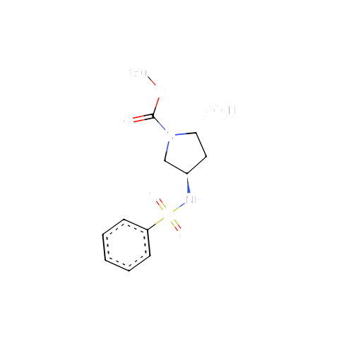 CC(C)(C)OC(=O)N1C[C@H](NS(=O)(=O)c2ccccc2)C[C@H]1C(=O)O